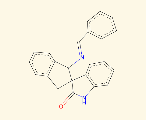 O=C1Nc2ccccc2C12Cc1ccccc1C2N=Cc1ccccc1